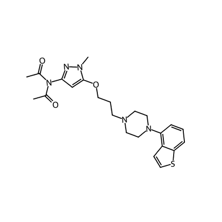 CC(=O)N(C(C)=O)c1cc(OCCCN2CCN(c3cccc4sccc34)CC2)n(C)n1